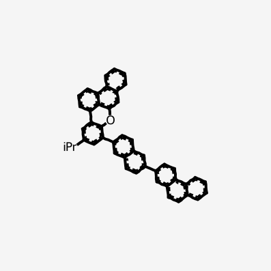 CC(C)c1cc(-c2ccc3cc(-c4ccc5c(ccc6ccccc65)c4)ccc3c2)c2c(c1)-c1cccc3c1c(cc1ccccc13)O2